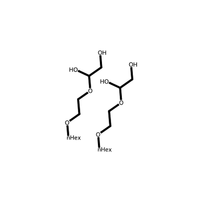 CCCCCCOCCOC(O)CO.CCCCCCOCCOC(O)CO